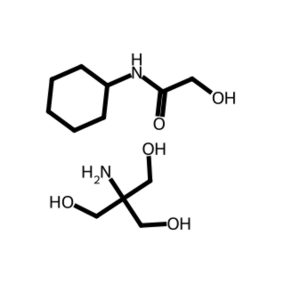 NC(CO)(CO)CO.O=C(CO)NC1CCCCC1